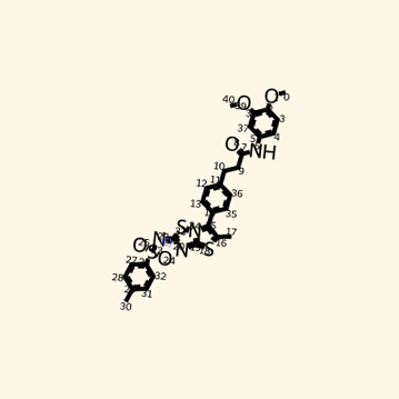 COc1ccc(NC(=O)CCc2ccc(-c3c(C)sc4n/c(=N\S(=O)(=O)c5ccc(C)cc5)sn34)cc2)cc1OC